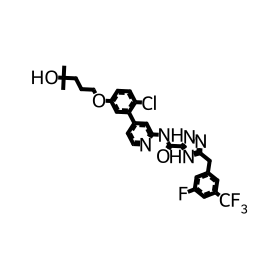 CC(C)(O)CCCOc1ccc(Cl)c(-c2ccnc(NC(=O)c3nnc(Cc4cc(F)cc(C(F)(F)F)c4)[nH]3)c2)c1